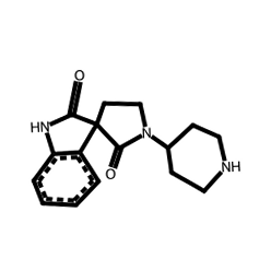 O=C1Nc2ccccc2C12CCN(C1CCNCC1)C2=O